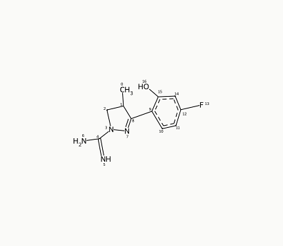 CC1CN(C(=N)N)N=C1c1ccc(F)cc1O